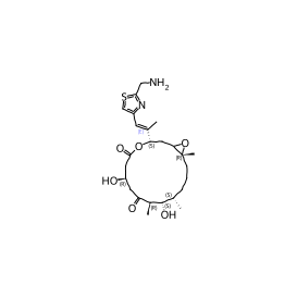 C/C(=C\c1csc(CN)n1)[C@@H]1CC2O[C@]2(C)CCC[C@H](C)[C@H](O)[C@@H](C)C(=O)C[C@@H](O)CC(=O)O1